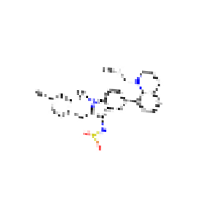 CCOC(=O)CN1CC=Cc2cccc(-c3ccc4c(c3)c(N=S(=O)=O)c(Cc3ccc(C#N)cc3)n4C)c21